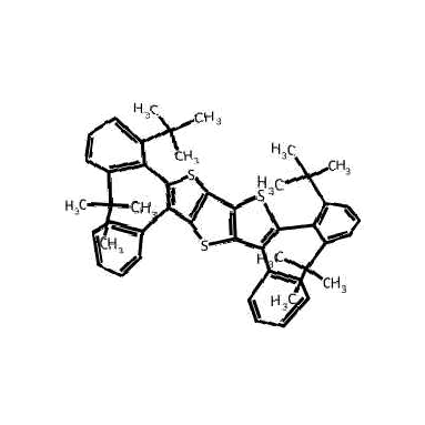 CC(C)(C)c1cccc(C(C)(C)C)c1-c1sc2c(sc3c(-c4ccccc4)c(-c4c(C(C)(C)C)cccc4C(C)(C)C)sc32)c1-c1ccccc1